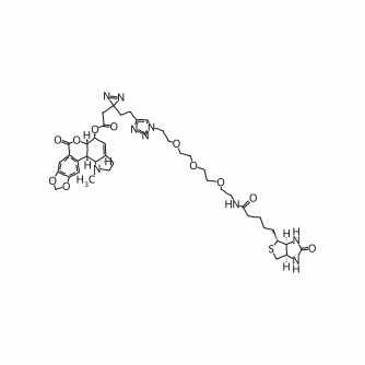 CN1CCC2=C[C@H](OC(=O)CC3(CCc4cn(CCOCCOCCOCCNC(=O)CCCC[C@@H]5SC[C@@H]6NC(=O)N[C@@H]65)nn4)N=N3)[C@H]3OC(=O)c4cc5c(cc4[C@H]3[C@@H]21)OCO5